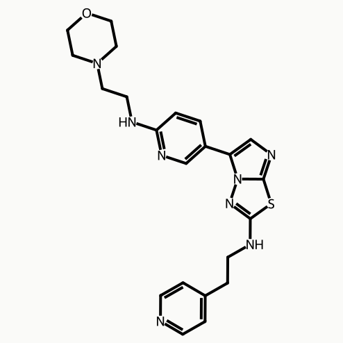 c1cc(CCNc2nn3c(-c4ccc(NCCN5CCOCC5)nc4)cnc3s2)ccn1